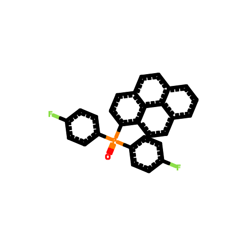 O=P(c1ccc(F)cc1)(c1ccc(F)cc1)c1ccc2ccc3cccc4ccc1c2c34